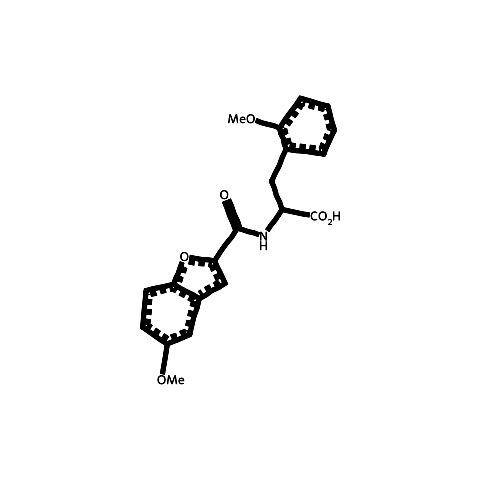 COc1ccc2oc(C(=O)NC(Cc3ccccc3OC)C(=O)O)cc2c1